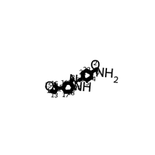 NC(=O)c1ccc(-c2nc3cc(-c4ccoc4)ccc3[nH]2)cc1